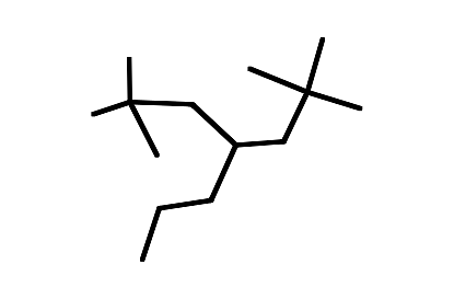 CCCC(CC(C)(C)C)CC(C)(C)C